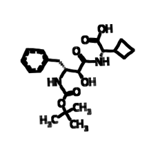 CC(C)(C)OC(=O)N[C@H](Cc1ccccc1)[C@H](O)C(=O)N[C@H](C(=O)O)C1CCC1